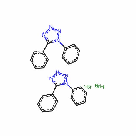 Br.Br.c1ccc(-c2nnnn2-c2ccccc2)cc1.c1ccc(-c2nnnn2-c2ccccc2)cc1